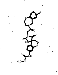 CNC(=O)Nc1ccc2c(c1)OCCC21NC(=O)N(CC(=O)N2CCOc3ccc(F)cc3C2)C1=O